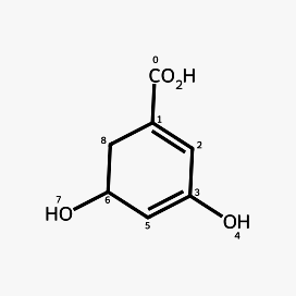 O=C(O)C1=CC(O)=CC(O)C1